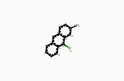 CCc1ccc2cc3ccccc3c(Br)c2c1